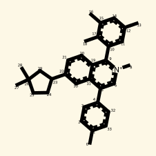 Cc1ccc(-c2c[n+](C)c(-c3cc(C)cc(C)c3C)c3ccc(C4CCC(C)(C)C4)cc23)cc1